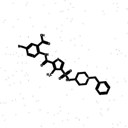 Cc1c(S(=O)(=O)NC2CCN(Cc3ccccc3)CC2)csc1C(=O)Nc1ccc(Br)cc1C(=O)O